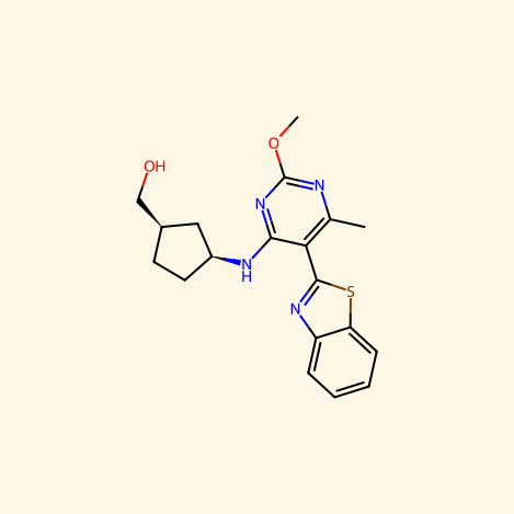 COc1nc(C)c(-c2nc3ccccc3s2)c(N[C@H]2CC[C@@H](CO)C2)n1